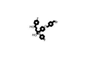 OC(CCC1C(O)N(c2ccc(F)cc2)C1c1ccc(OCc2ccc(CBr)cc2)cc1)c1ccc(F)cc1